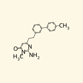 Cc1ccc(-c2cccc(CCc3cc(=O)n(C)c(N)n3)c2)cc1